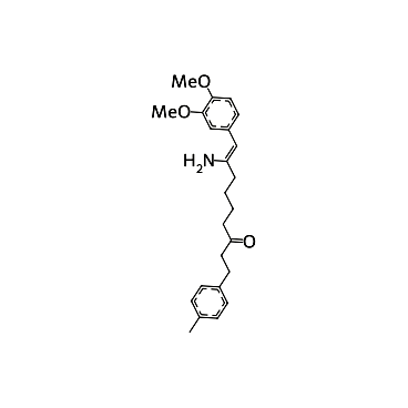 COc1ccc(C=C(N)CCCCC(=O)CCc2ccc(C)cc2)cc1OC